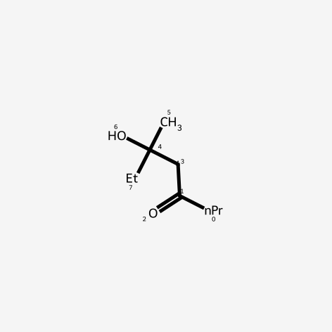 CCCC(=O)[CH]C(C)(O)CC